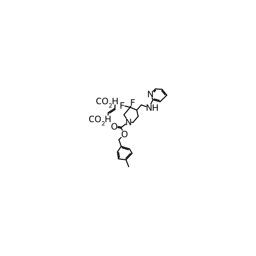 Cc1ccc(COC(=O)N2CCC(CNc3ccccn3)C(F)(F)C2)cc1.O=C(O)/C=C/C(=O)O